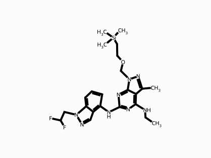 CCNc1nc(Nc2cccc3c2cnn3CC(F)F)nc2c1c(C)nn2COCC[Si](C)(C)C